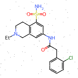 CCN1CCc2c(cc(NC(=O)Cc3ccccc3Cl)cc2S(N)(=O)=O)C1